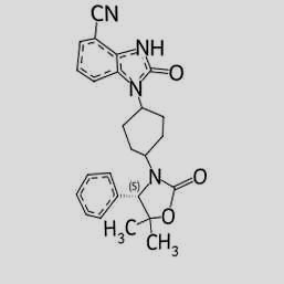 CC1(C)OC(=O)N(C2CCC(n3c(=O)[nH]c4c(C#N)cccc43)CC2)[C@H]1c1ccccc1